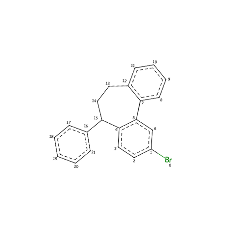 Brc1ccc2c(c1)-c1ccccc1CCC2c1ccccc1